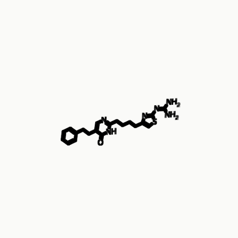 NC(N)=Nc1nc(CCCCc2ncc(CCc3ccccc3)c(=O)[nH]2)cs1